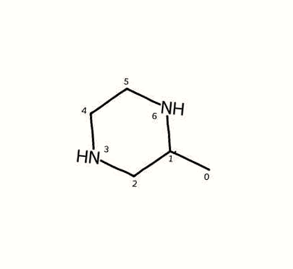 C[C]1CNCCN1